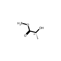 BOC(=O)[C@@H](C)O